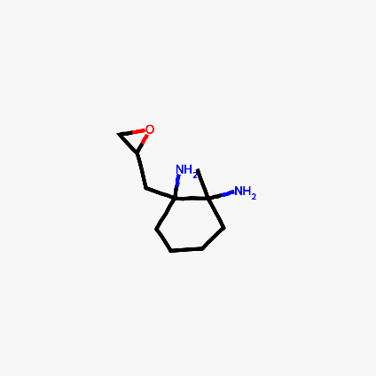 CC1(N)CCCCC1(N)CC1CO1